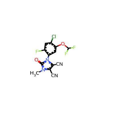 Cn1c(C#N)c(C#N)n(-c2cc(OC(F)F)c(Cl)cc2F)c1=O